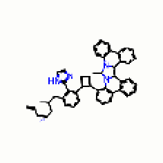 C=C/C=C\CC(C)Cc1cccc(C2CC=C2c2cccc3c2N2C(=C4c5ccccc5-c5ccccc5N4C2C)c2ccccc2-3)c1-c1ncc[nH]1